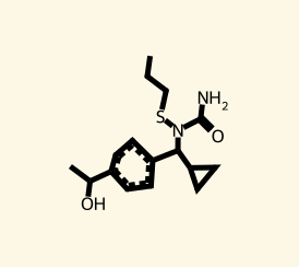 CCCSN(C(N)=O)C(c1ccc(C(C)O)cc1)C1CC1